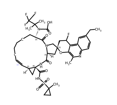 CCc1ccc2nc(C)c3c(c2c1)C(F)C[C@]1(C[C@H]2C(=O)N[C@]4(C(=O)NS(=O)(=O)C5(C)CC5)C[C@H]4/C=C\CCCCC[C@H](N(C(=O)O)C(C)(C)C(F)(F)F)C(=O)N2C1)O3